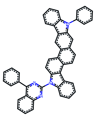 c1ccc(-c2nc(-n3c4ccccc4c4c5ccc6cc7c(cc6c5ccc43)c3ccccc3n7-c3ccccc3)nc3ccccc23)cc1